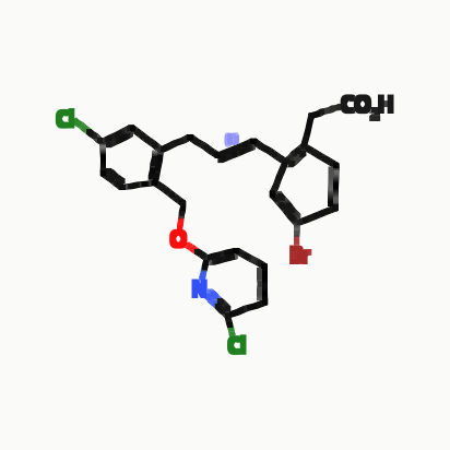 O=C(O)Cc1ccc(Br)cc1/C=C/Cc1cc(Cl)ccc1COc1cccc(Cl)n1